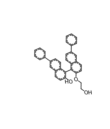 OCCOc1ccc2cc(-c3ccccc3)ccc2c1-c1c(O)ccc2cc(-c3ccccc3)ccc12